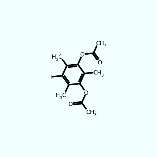 CC(=O)Oc1c(C)c(I)c(C)c(OC(C)=O)c1C